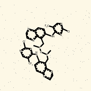 CP(Cc1c(Nc2nc(Cl)ncc2C(F)(F)F)ccc2nccnc12)OP(C)Cc1c(Nc2nc(Cl)ncc2C(F)(F)F)ccc2nccnc12